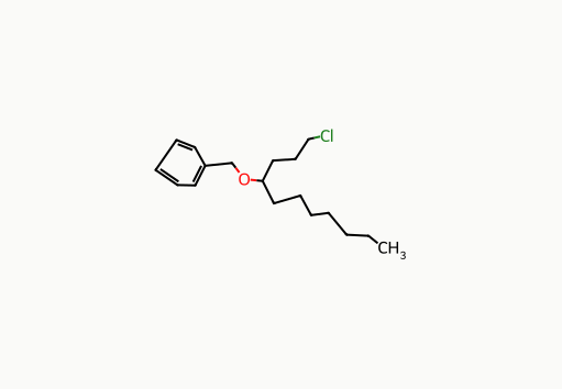 CCCCCCCC(CCCCl)OCc1ccccc1